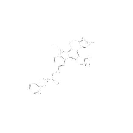 CCn1c2ccc(OCC(=O)NCc3ccccn3)cc2c2c3c(c4c(c21)CCc1nn(C)cc1-4)C(=O)NC3